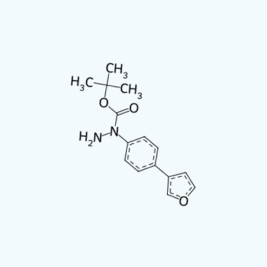 CC(C)(C)OC(=O)N(N)c1ccc(-c2ccoc2)cc1